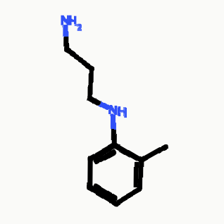 Cc1ccccc1NCCCN